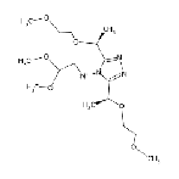 COCCO[C@@H](C)c1nnc([C@H](C)OCCOC)n1[N+]CC(OC)OC